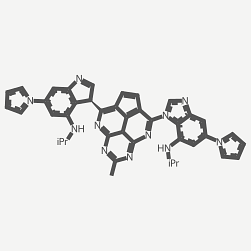 CC1=NC2=NC([C@@H]3C=Nc4cc(-n5cccc5)cc(NC(C)C)c43)=C3C=CC4=C3C2C(=N1)N=C4n1cnc2cc(-n3cccc3)cc(NC(C)C)c21